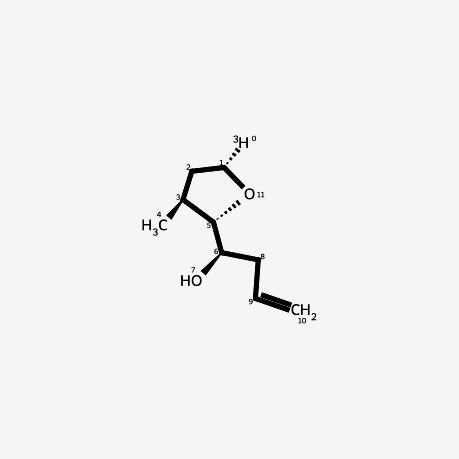 [3H][C@H]1C[C@H](C)[C@@H]([C@H](O)CC=C)O1